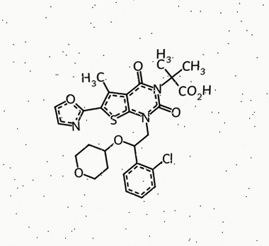 Cc1c(-c2ncco2)sc2c1c(=O)n(C(C)(C)C(=O)O)c(=O)n2CC(OC1CCOCC1)c1ccccc1Cl